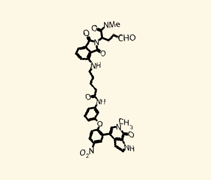 CNC(=O)C(CCC=O)N1C(=O)c2cccc(NCCCCC(=O)Nc3cccc(Oc4ccc([N+](=O)[O-])cc4-c4cn(C)c(=O)c5[nH]ccc45)c3)c2C1=O